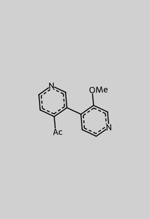 COc1cnccc1-c1cnccc1C(C)=O